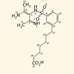 CC(=N)/C(NS(=O)(=O)c1cccc(CCCCCCC(=O)O)c1)=C(/C)N